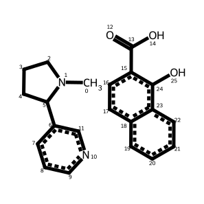 CN1CCCC1c1cccnc1.O=C(O)c1ccc2ccccc2c1O